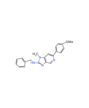 COc1ccc(-c2cc3c(cn2)nc(NCc2ccccc2)n3C)cc1